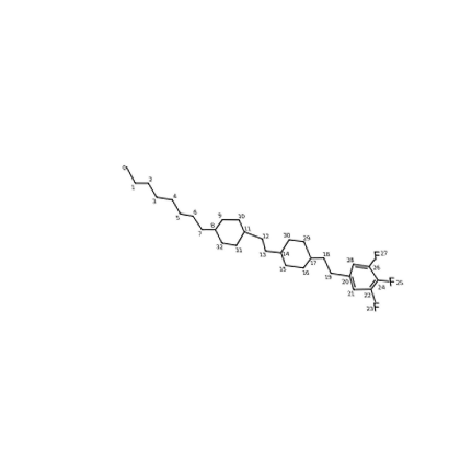 CCCCCCCCC1CCC(CCC2CCC(CCc3cc(F)c(F)c(F)c3)CC2)CC1